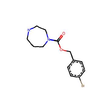 O=C(OCc1ccc(Br)cc1)N1CCC[N]CC1